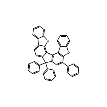 c1ccc(-c2cc3c(c4c2oc2ccccc24)-c2c(ccc4c2oc2ccccc24)C3(c2ccccc2)c2ccccc2)cc1